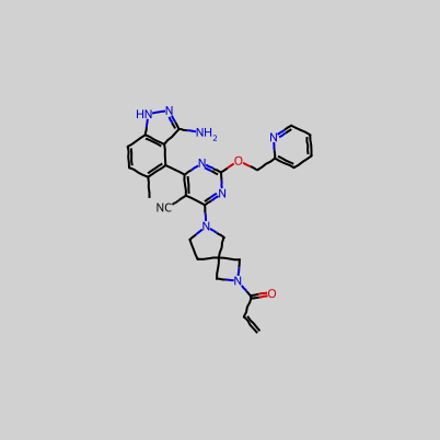 C=CC(=O)N1CC2(CCN(c3nc(OCc4ccccn4)nc(-c4c(C)ccc5[nH]nc(N)c45)c3C#N)C2)C1